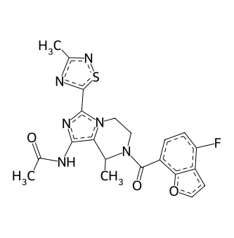 CC(=O)Nc1nc(-c2nc(C)ns2)n2c1C(C)N(C(=O)c1ccc(F)c3ccoc13)CC2